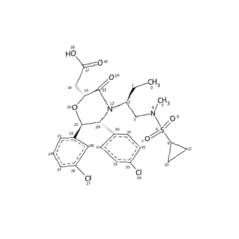 CC[C@@H](CN(C)S(=O)(=O)C1CC1)N1C(=O)[C@@H](CC(=O)O)O[C@H](c2cccc(Cl)c2)[C@H]1c1ccc(Cl)cc1